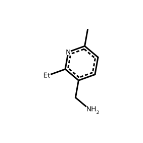 CCc1nc(C)ccc1CN